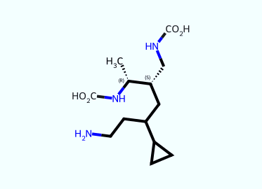 C[C@@H](NC(=O)O)[C@H](CNC(=O)O)CC(CCN)C1CC1